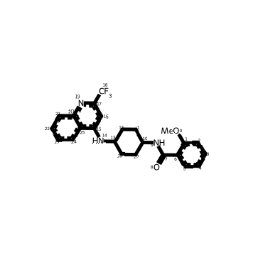 COc1ccccc1C(=O)NC1CCC(Nc2cc(C(F)(F)F)nc3ccccc23)CC1